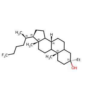 CC[C@]1(O)CC[C@@]2(C)C(CC[C@@H]3C2CC[C@@]2(C)C3CC[C@@H]2[C@H](C)CCCC(F)(F)F)C1